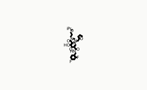 CC(C)OCCCN1CN(Cc2ccco2)n2cc(C(=O)NCc3ccc(F)cc3F)c(=O)c(O)c2C1=O